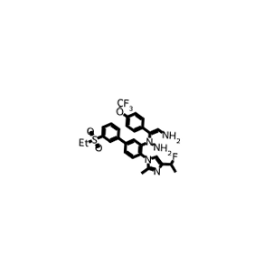 CCS(=O)(=O)c1cccc(-c2ccc(-n3cc(C(C)F)nc3C)c(N(N)/C(=C\N)c3ccc(OC(F)(F)F)cc3)c2)c1